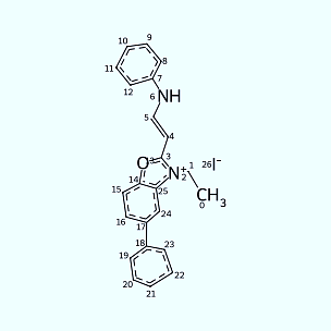 CC[n+]1c(/C=C/Nc2ccccc2)oc2ccc(-c3ccccc3)cc21.[I-]